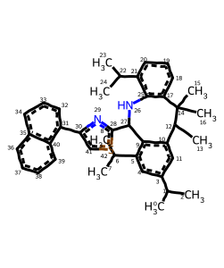 CC(C)c1cc(C(C)C)c2c(c1)C(C)C(C)(C)c1cccc(C(C)C)c1NC2c1nc(-c2cccc3ccccc23)cs1